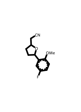 COc1ccc(F)cc1C1CCC(CC#N)O1